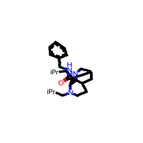 CC(C)CC1C2CNC3(C(=O)NCc4ccccc4)C(CCN(CC(C)C)C13)C2